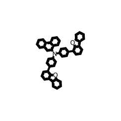 c1ccc2c(c1)cc(N(c1ccc(-c3cccc4c3oc3ccccc34)cc1)c1ccc(-c3cccc4c3oc3ccccc34)cc1)c1ccccc12